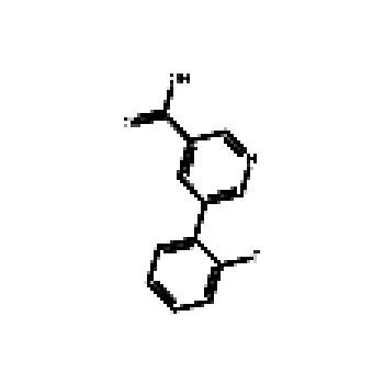 O=C(O)c1cncc(-c2ccccc2F)c1